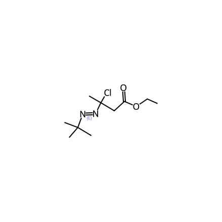 CCOC(=O)CC(C)(Cl)/N=N/C(C)(C)C